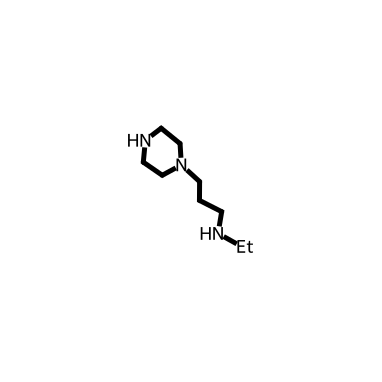 CCNCCCN1CCNCC1